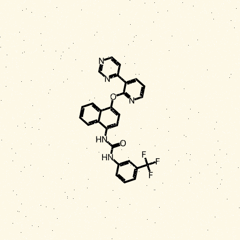 O=C(Nc1cccc(C(F)(F)F)c1)Nc1ccc(Oc2ncccc2-c2ccncn2)c2ccccc12